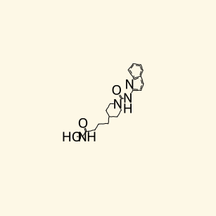 O=C(CCCC1CCN(C(=O)Nc2ccc3ccccc3n2)CC1)NO